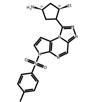 CC[C@@H]1C[C@H](N)CC1c1nnc2cnc3c(ccn3S(=O)(=O)c3ccc(C)cc3)n12